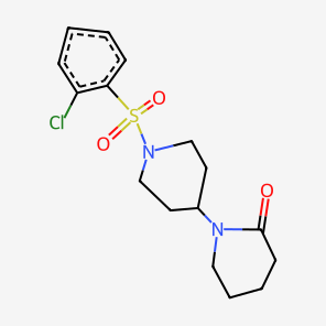 O=C1CCCCN1C1CCN(S(=O)(=O)c2ccccc2Cl)CC1